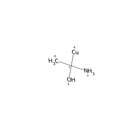 C[C](N)(O)[Cu]